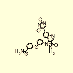 COc1ncc(-c2ccc3c(Nc4cccc(Oc5cccc(C(N)=O)c5)c4)c(C(N)=O)cnc3c2)c(OC)n1